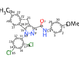 COc1ccc(NC(=O)c2nn(-c3ccc(Cl)cc3Cl)c3c2Cc2cc(C)ccc2-3)cc1